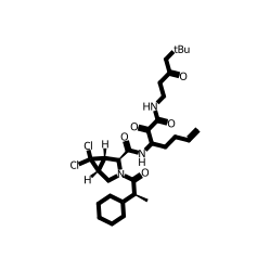 C=CCCC(NC(=O)[C@@H]1[C@@H]2[C@H](CN1C(=O)[C@@H](C)C1CCCCC1)C2(Cl)Cl)C(=O)C(=O)NCCC(=O)CC(C)(C)C